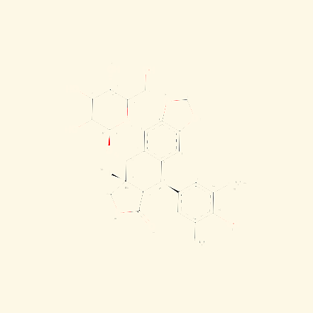 COc1cc([C@@H]2c3cc4c(cc3[C@@H](O[C@@H]3OC(CO)[C@@H](O)C(O)C3O)[C@H]3COC(=O)C23)OCO4)cc(OC)c1O